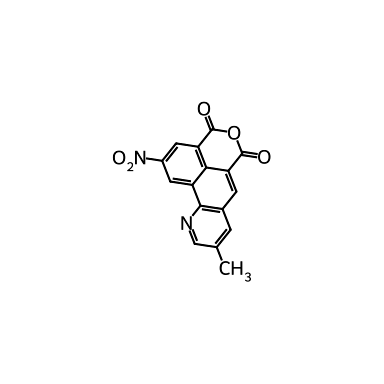 Cc1cnc2c(c1)cc1c3c(cc([N+](=O)[O-])cc32)C(=O)OC1=O